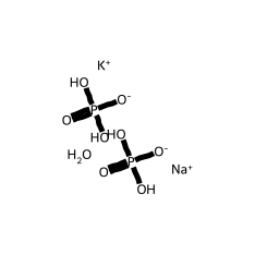 O.O=P([O-])(O)O.O=P([O-])(O)O.[K+].[Na+]